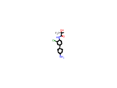 C[C@@](O)(C(=O)Nc1ccc(-c2ccc(N)cc2)cc1Cl)C(F)(F)F